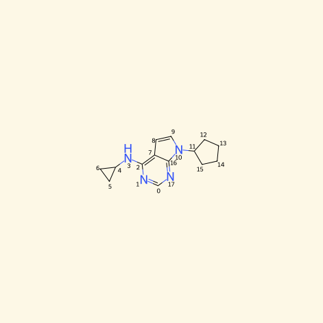 c1nc(NC2CC2)c2ccn(C3CCCC3)c2n1